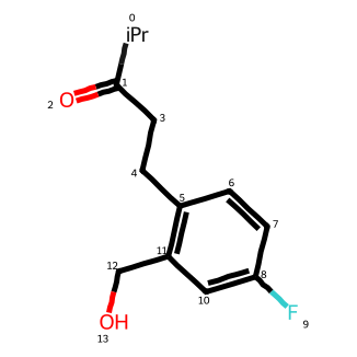 CC(C)C(=O)CCc1ccc(F)cc1CO